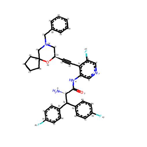 N[C@H](C(=O)Nc1cncc(F)c1C#C[C@@H]1CN(Cc2ccccc2)CC2(CCCC2)O1)C(c1ccc(F)cc1)c1ccc(F)cc1